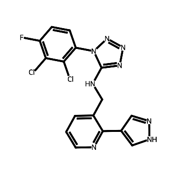 Fc1ccc(-n2nnnc2NCc2cccnc2-c2cn[nH]c2)c(Cl)c1Cl